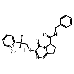 O=C(NCc1ccccc1)C1CCc2cnc(NCC(F)(F)c3cccc[n+]3[O-])c(=O)n21